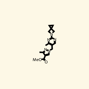 COC(=O)c1cn(Cc2cnc(N3CC4(CC4)C3)nc2C)nc1C